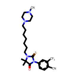 CC1(C)C(=O)N(c2ccc(C#N)c(C(F)(F)F)c2)C(=S)N1CCCCCCCN1CCN(C#N)CC1